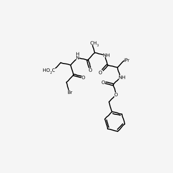 CC(NC(=O)C(NC(=O)OCc1ccccc1)C(C)C)C(=O)NC(CC(=O)O)C(=O)CBr